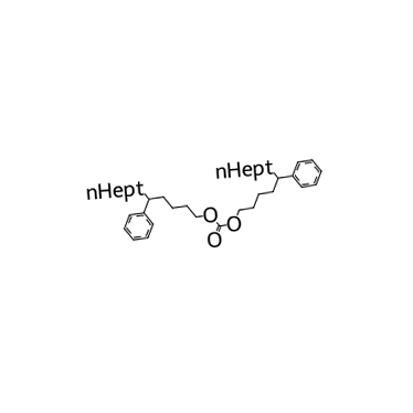 CCCCCCCC(CCCCOC(=O)OCCCCC(CCCCCCC)c1ccccc1)c1ccccc1